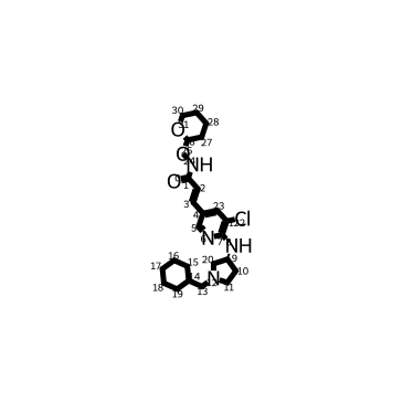 O=C(C=Cc1cnc(N[C@@H]2CCN(CC3CCCCC3)C2)c(Cl)c1)NOC1CCCCO1